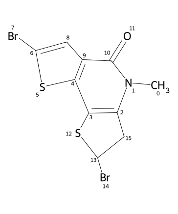 Cn1c2c(c3sc(Br)cc3c1=O)SC(Br)C2